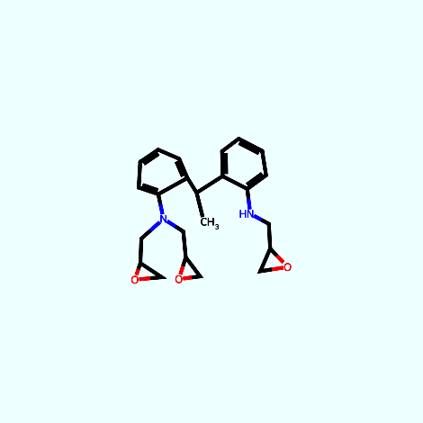 CC(c1ccccc1NCC1CO1)c1ccccc1N(CC1CO1)CC1CO1